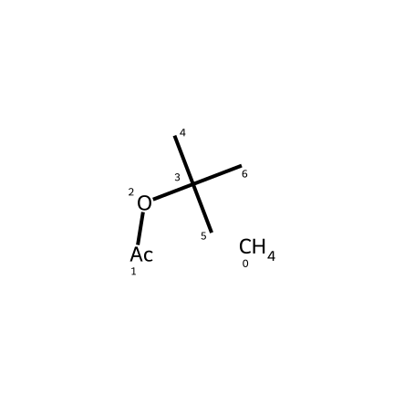 C.CC(=O)OC(C)(C)C